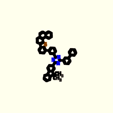 CC1(C)c2ccccc2-c2ccc(-c3nc(-c4cccc(-c5ccccc5)c4)nc(-c4cccc(-c5cccc6c5sc5c6ccc6ccc7ccccc7c65)c4)n3)cc21